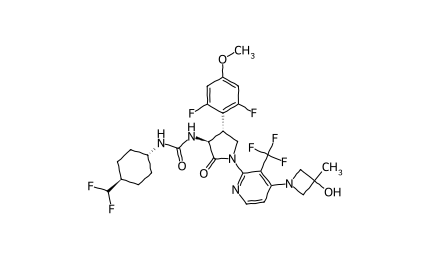 COc1cc(F)c([C@@H]2CN(c3nccc(N4CC(C)(O)C4)c3C(F)(F)F)C(=O)[C@H]2NC(=O)N[C@H]2CC[C@H](C(F)F)CC2)c(F)c1